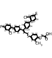 Cc1cc(SCC=C(c2ccc(-c3ccc(F)cc3Cl)cc2)c2ccc(-c3ccc(F)cc3Cl)cc2)ccc1OCC(=O)O